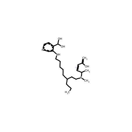 C=C(O)/C=C\C(C)N(C)CCC(CCC)CCCCCNc1cnccc1C(O)O